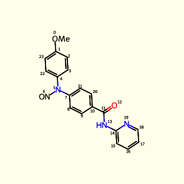 COc1ccc(N(N=O)c2ccc(C(=O)Nc3ccccn3)cc2)cc1